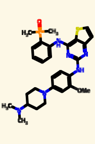 COc1cc(N2CCC(N(C)C)CC2)ccc1Nc1nc(Nc2ccccc2P(C)(C)=O)c2sccc2n1